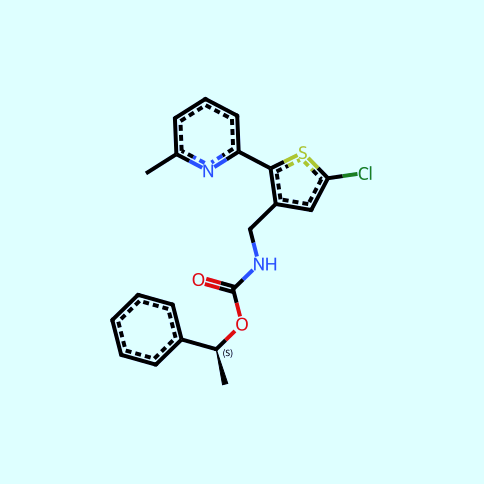 Cc1cccc(-c2sc(Cl)cc2CNC(=O)O[C@@H](C)c2ccccc2)n1